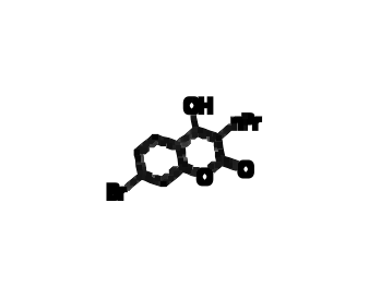 CCCc1c(O)c2ccc(Br)cc2oc1=O